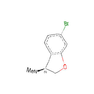 CN[C@@H]1COc2cc(Br)ccc21